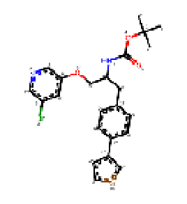 CC(C)(C)OC(=O)NC(COc1cncc(Br)c1)Cc1ccc(-c2ccsc2)cc1